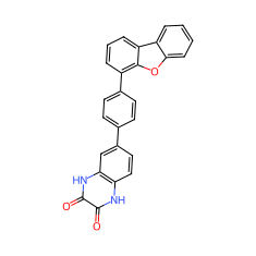 O=c1[nH]c2ccc(-c3ccc(-c4cccc5c4oc4ccccc45)cc3)cc2[nH]c1=O